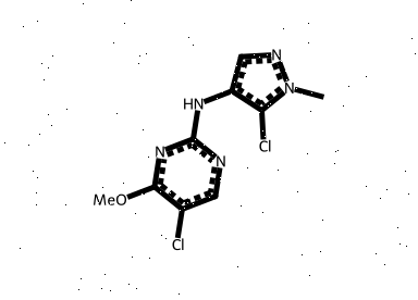 COc1nc(Nc2cnn(C)c2Cl)ncc1Cl